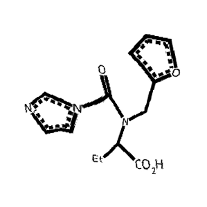 CCC(C(=O)O)N(Cc1ccco1)C(=O)n1ccnc1